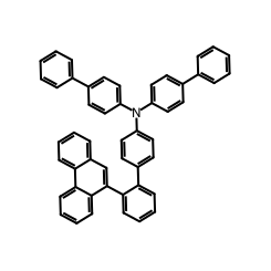 c1ccc(-c2ccc(N(c3ccc(-c4ccccc4)cc3)c3ccc(-c4ccccc4-c4cc5ccccc5c5ccccc45)cc3)cc2)cc1